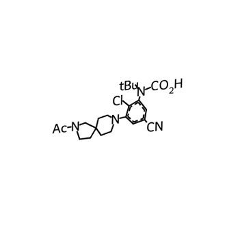 CC(=O)N1CCC2(CCN(c3cc(C#N)cc(N(C(=O)O)C(C)(C)C)c3Cl)CC2)C1